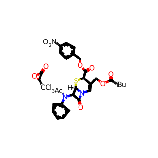 CCC(C)C(=O)OCC1=CN2C(=O)C(N(C(C)=O)c3ccccc3)[C@H]2SC1C(=O)OCc1ccc([N+](=O)[O-])cc1.O=C1OC1C(Cl)(Cl)Cl